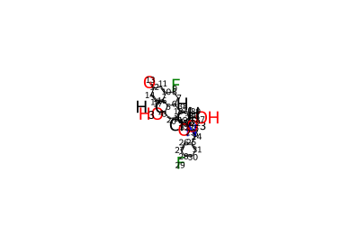 C[C@]12C[C@H](O)C3[C@@H](C[C@H](F)C4=CC(=O)C=C[C@@]43C)[C@]1(C)C[C@H]1CN(Cc3ccc(F)cc3)O[C@]12C(=O)CO